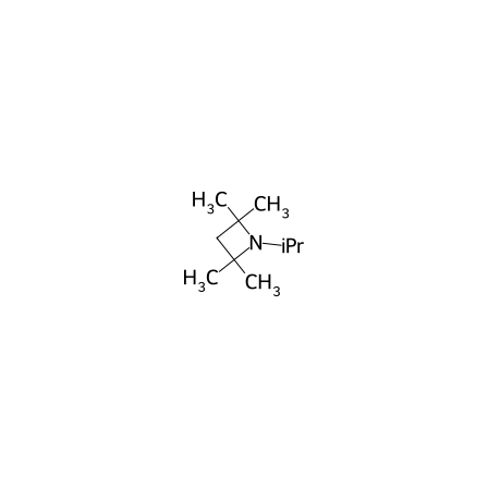 CC(C)N1C(C)(C)CC1(C)C